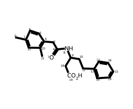 Cc1ccc(CC(=O)NC(CCc2ccccc2)CC(=O)O)c(C)c1